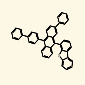 c1ccc(-c2ccc(-c3c4ccccc4c(-c4cccc5c4oc4ccccc45)c4cc(-c5ccccc5)ccc34)cc2)cc1